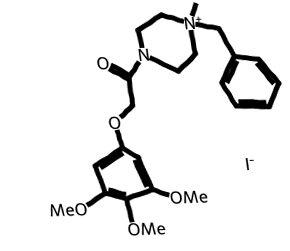 COc1cc(OCC(=O)N2CC[N+](C)(Cc3ccccc3)CC2)cc(OC)c1OC.[I-]